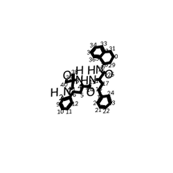 NCC1(NC(CCc2ccccc2)C(=O)NC(CCc2ccccc2)C(=O)N[C@@H]2CCCc3ccccc32)COC1